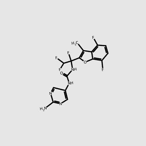 Cc1c(C(F)(NC(=O)Nc2cnc(N)nc2)C(F)F)oc2c(F)ccc(F)c12